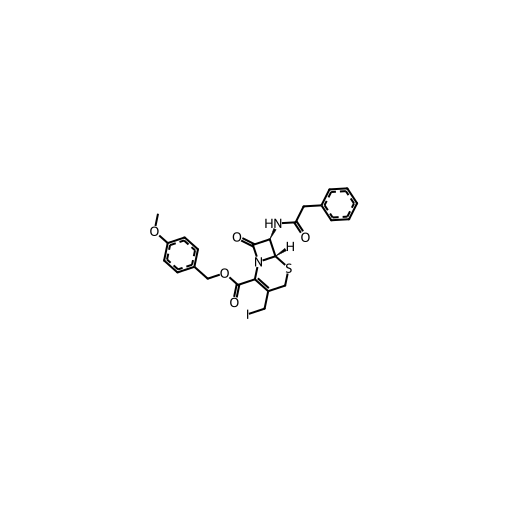 COc1ccc(COC(=O)C2=C(CI)CS[C@H]3[C@H](NC(=O)Cc4ccccc4)C(=O)N23)cc1